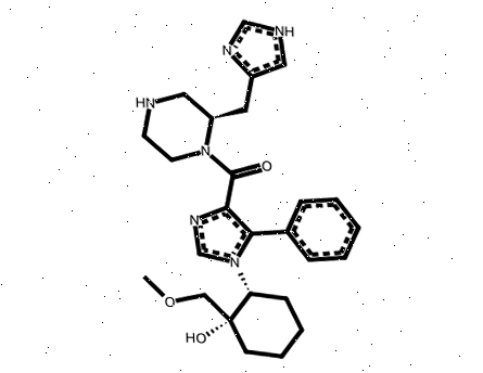 COC[C@]1(O)CCCC[C@H]1n1cnc(C(=O)N2CCNC[C@H]2Cc2c[nH]cn2)c1-c1ccccc1